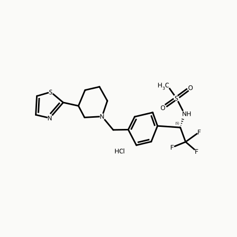 CS(=O)(=O)N[C@@H](c1ccc(CN2CCCC(c3nccs3)C2)cc1)C(F)(F)F.Cl